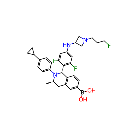 C[C@@H]1Cc2cc(B(O)O)ccc2[C@@H](c2c(F)cc(NC3CN(CCCF)C3)cc2F)N1c1ccc(C2CC2)cc1